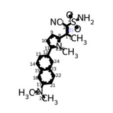 C/C(=C(/C#N)S(N)(=O)=O)c1ccc(-c2ccc3cc(N(C)C)ccc3c2)n1C